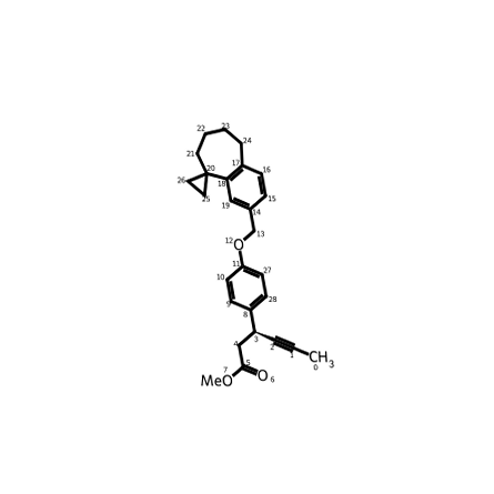 CC#C[C@@H](CC(=O)OC)c1ccc(OCc2ccc3c(c2)C2(CCCC3)CC2)cc1